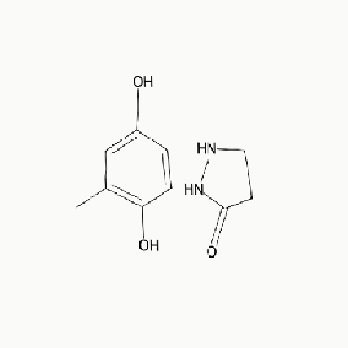 Cc1cc(O)ccc1O.O=C1CCNN1